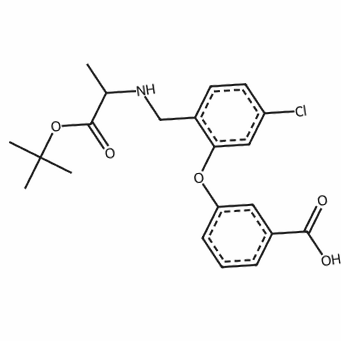 CC(NCc1ccc(Cl)cc1Oc1cccc(C(=O)O)c1)C(=O)OC(C)(C)C